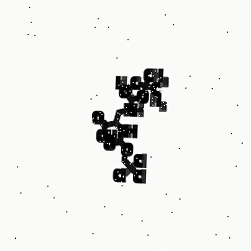 CC(C)(C)OC(=O)NCC(NC(=O)OCC(Cl)(Cl)Cl)C(=O)O